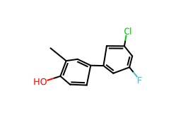 Cc1cc(-c2cc(F)cc(Cl)c2)ccc1O